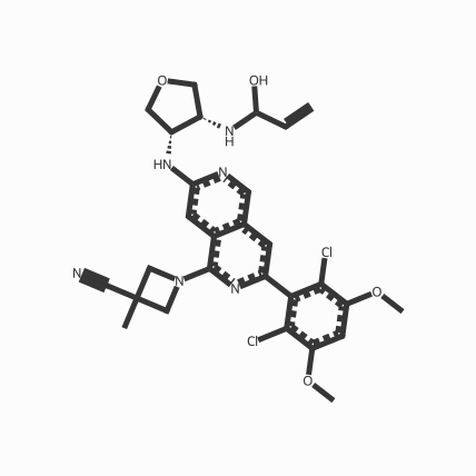 C=CC(O)N[C@H]1COC[C@H]1Nc1cc2c(N3CC(C)(C#N)C3)nc(-c3c(Cl)c(OC)cc(OC)c3Cl)cc2cn1